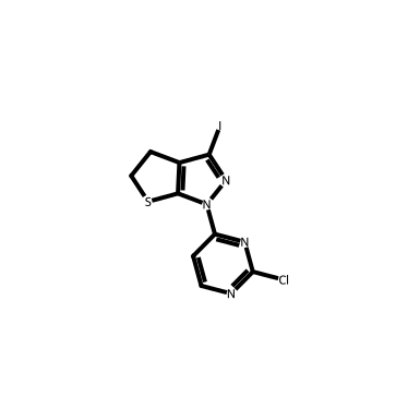 Clc1nccc(-n2nc(I)c3c2SCC3)n1